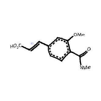 CNC(=O)c1ccc(/C=C/C(=O)O)cc1OC